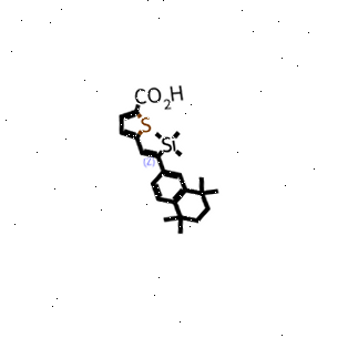 CC1(C)CCC(C)(C)c2cc(/C(=C/c3ccc(C(=O)O)s3)[Si](C)(C)C)ccc21